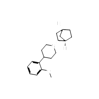 COc1ccccc1C1CCN([C@@H]2C[C@H]3CC[C@H]2C3)CC1